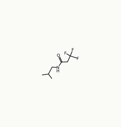 CC(C)CNC(=O)CC(F)(F)F